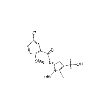 CCCCn1c(C)c(C(C)(C)O)sc1=NC(=O)c1cc(Cl)ccc1OC